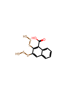 O=C(O)c1c(SSS)c(SSS)cc2ccccc12